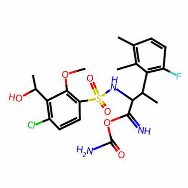 COc1c(S(=O)(=O)NC(C(=N)OC(N)=O)C(C)c2c(F)ccc(C)c2C)ccc(Cl)c1C(C)O